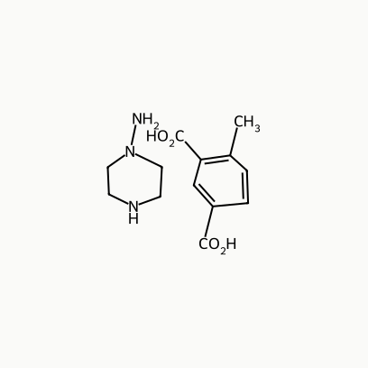 Cc1ccc(C(=O)O)cc1C(=O)O.NN1CCNCC1